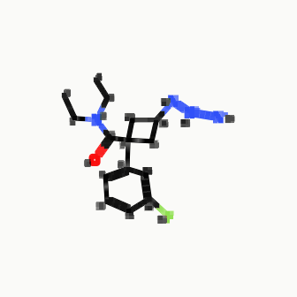 CCN(CC)C(=O)C1(c2cccc(F)c2)CC(N=[N+]=[N-])C1